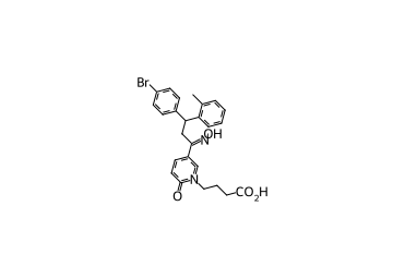 Cc1ccccc1C(C/C(=N\O)c1ccc(=O)n(CCCC(=O)O)c1)c1ccc(Br)cc1